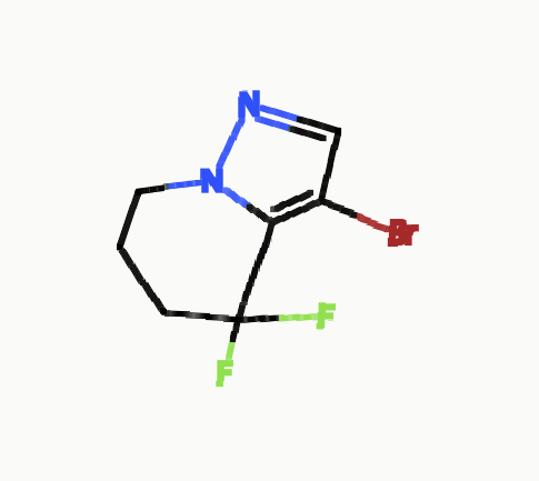 FC1(F)CCCn2ncc(Br)c21